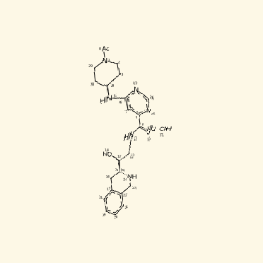 CC(=O)N1CCC(Nc2cc(C(=O)NCC(O)[C@@H]3Cc4ccccc4CN3)ncn2)CC1.Cl.Cl